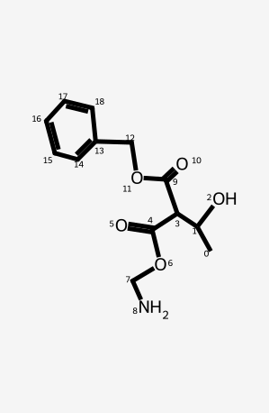 CC(O)C(C(=O)OCN)C(=O)OCc1ccccc1